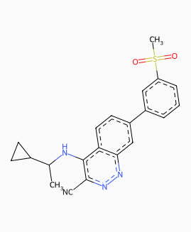 CC(Nc1c(C#N)nnc2cc(-c3cccc(S(C)(=O)=O)c3)ccc12)C1CC1